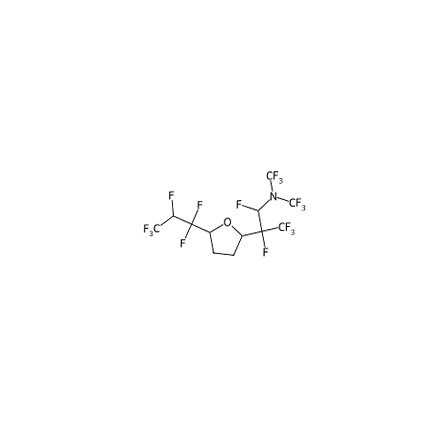 FC(C(F)(F)F)C(F)(F)C1CCC(C(F)(C(F)N(C(F)(F)F)C(F)(F)F)C(F)(F)F)O1